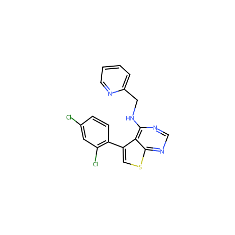 Clc1ccc(-c2csc3ncnc(NCc4ccccn4)c23)c(Cl)c1